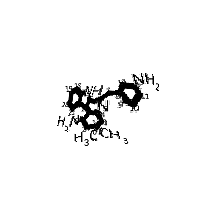 CC1(C)Cc2nc(Cc3cccc(N)c3)c3[nH]c4ccccc4c3c2C(N)C1